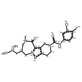 CCCN(CCC)CC1CN(C)C(=O)c2c3c(nn2C1)CCN(C(=O)Nc1ccc(F)c(Cl)c1)C3